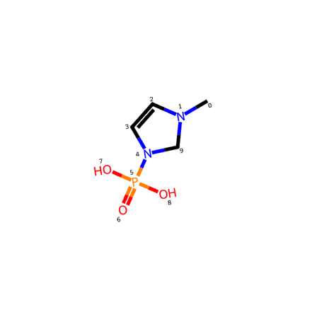 CN1C=CN(P(=O)(O)O)C1